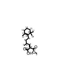 COC(=O)/C(=C/C(C)CCC1=C(C)CCCC1(C)C)C(=O)O